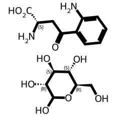 Nc1ccccc1C(=O)C[C@H](N)C(=O)O.OC[C@H]1OC(O)[C@H](O)[C@@H](O)[C@@H]1O